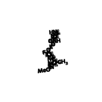 COc1cnc2c(-c3nc4cc(F)c(OCCOC(=O)Nc5cnc6[nH]ccc6c5)cc4s3)cc(C)cc2n1